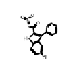 O=C(N=S(=O)=O)c1[nH]c2ccc(Cl)cc2c1-c1ccccc1